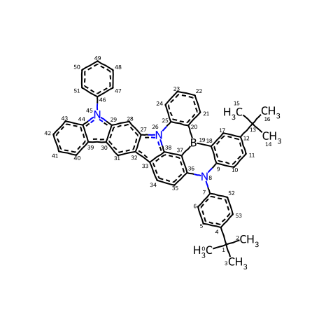 CC(C)(C)c1ccc(N2c3ccc(C(C)(C)C)cc3B3c4ccccc4-n4c5cc6c(cc5c5ccc2c3c54)c2ccccc2n6-c2ccccc2)cc1